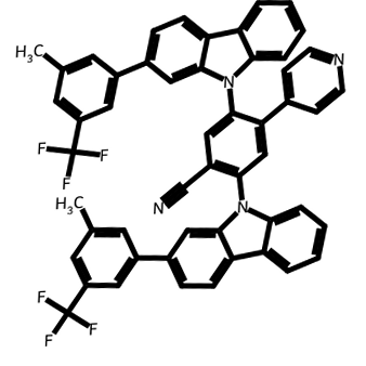 Cc1cc(-c2ccc3c4ccccc4n(-c4cc(-c5ccncc5)c(-n5c6ccccc6c6ccc(-c7cc(C)cc(C(F)(F)F)c7)cc65)cc4C#N)c3c2)cc(C(F)(F)F)c1